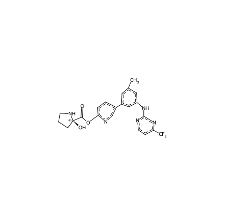 Cc1cc(Nc2nccc(C(F)(F)F)n2)cc(-c2ccc(OC(=O)[C@]3(O)CCCN3)nc2)c1